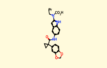 CC(C)CN(C(=O)O)c1cc2cc(NC(=O)C3(c4ccc5c(c4)OCO5)CC3)ccc2[nH]1